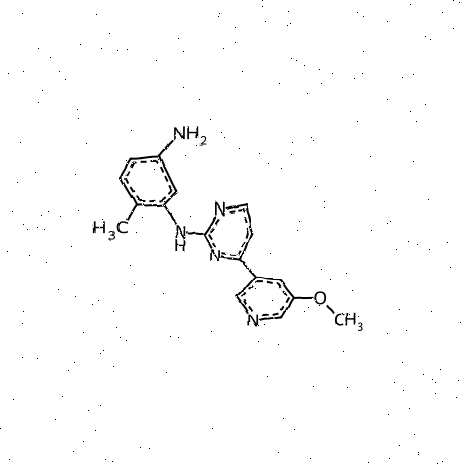 COc1cncc(-c2ccnc(Nc3cc(N)ccc3C)n2)c1